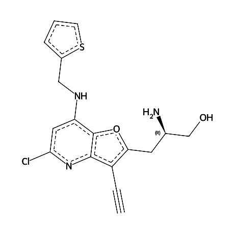 C#Cc1c(C[C@@H](N)CO)oc2c(NCc3cccs3)cc(Cl)nc12